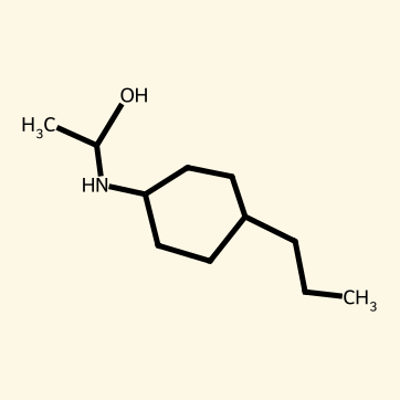 CCCC1CCC(NC(C)O)CC1